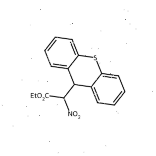 CCOC(=O)C(C1c2ccccc2Sc2ccccc21)[N+](=O)[O-]